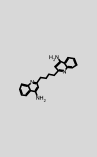 Nc1cc(CCCCc2cc(N)c3ccccc3n2)nc2ccccc12